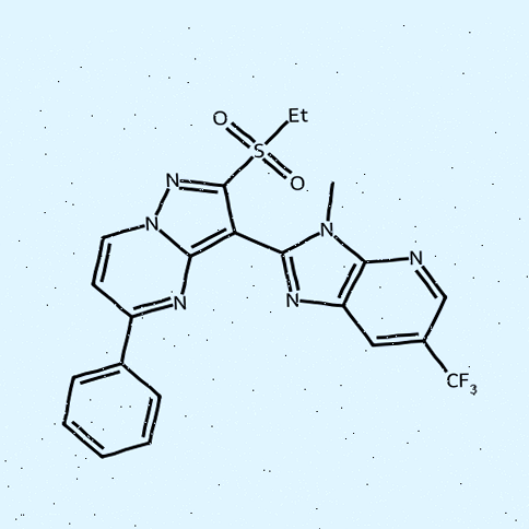 CCS(=O)(=O)c1nn2ccc(-c3ccccc3)nc2c1-c1nc2cc(C(F)(F)F)cnc2n1C